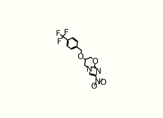 O=[N+]([O-])c1cn2c(n1)OCC(OCc1ccc(C(F)(F)F)cc1)C2